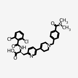 CN(C)C(=O)c1ccc(CN2CC=C(c3ccc(C[C@H](NC(=O)c4c(Cl)cccc4Cl)C(=O)O)nc3)CC2)cc1